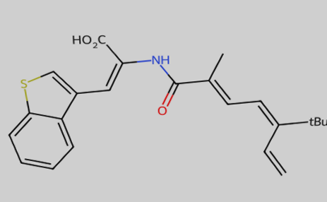 C=C/C(=C\C=C(/C)C(=O)N/C(=C/c1csc2ccccc12)C(=O)O)C(C)(C)C